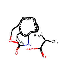 CC(C)C(=O)O.Cc1c2cccc1NC(=O)OC2